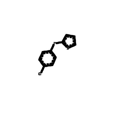 Clc1ccc([I+]c2cccs2)cc1